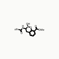 CCCC(=O)NC1Cc2cccc(C(=O)OC)c2OB1O